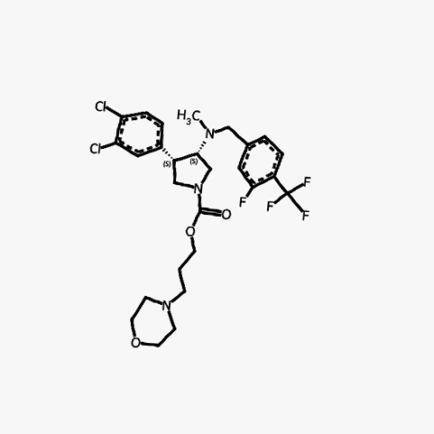 CN(Cc1ccc(C(F)(F)F)c(F)c1)[C@@H]1CN(C(=O)OCCCN2CCOCC2)C[C@@H]1c1ccc(Cl)c(Cl)c1